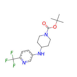 CC(C)(C)OC(=O)N1CCC(Nc2ccc(C(F)(F)F)nc2)CC1